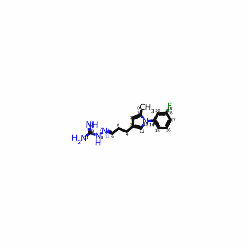 Cc1cc(CC/C=N/NC(=N)N)cn1-c1cccc(F)c1